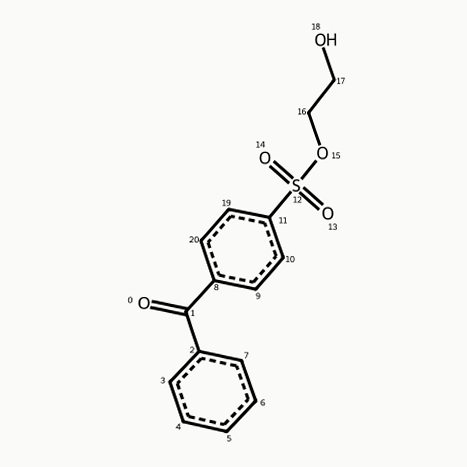 O=C(c1ccccc1)c1ccc(S(=O)(=O)OCCO)cc1